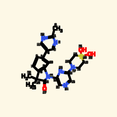 Cc1ncc(-c2ccc3c(c2)N(c2cncc(N4CCS(O)(O)CC4)n2)C(=O)C3(C)C)cn1